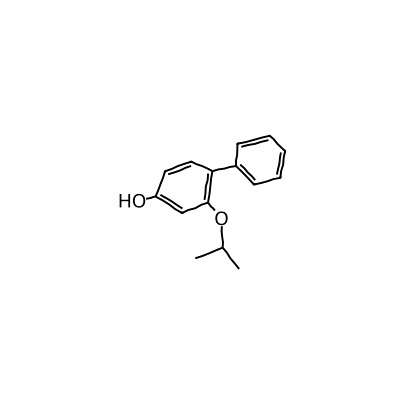 CC(C)Oc1cc(O)ccc1-c1ccccc1